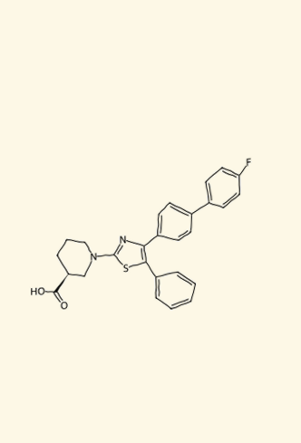 O=C(O)[C@H]1CCCN(c2nc(-c3ccc(-c4ccc(F)cc4)cc3)c(-c3ccccc3)s2)C1